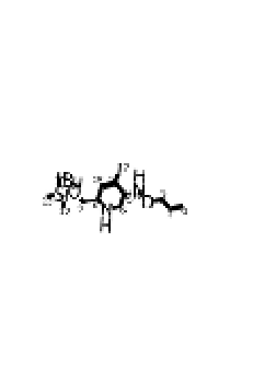 C=CCON[C@@H]1CN[C@@H](CO[Si](C)(C)C(C)(C)C)C=C1I